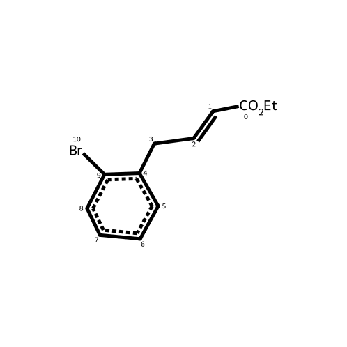 CCOC(=O)/C=C/Cc1ccccc1Br